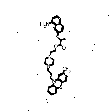 CC(Sc1ccc2cccc(N)c2c1)C(=O)OCCN1CCN(CCCN2c3ccccc3Sc3ccc(C(F)(F)F)cc32)CC1